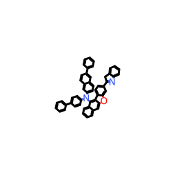 c1ccc(-c2ccc(N(c3ccc4cc(-c5ccccc5)ccc4c3)c3c4ccccc4cc4oc5cc(C6=Nc7ccccc7C6)ccc5c34)cc2)cc1